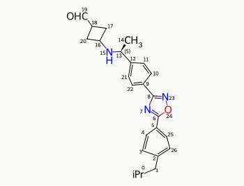 CC(C)Cc1ccc(-c2nc(-c3ccc([C@H](C)NC4CC(C=O)C4)cc3)no2)cc1